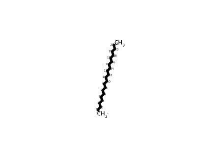 [CH2]CCCCCCCCCCCCCCCCCCCC[CH]C